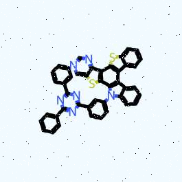 c1ccc(-c2nc(-c3ccccc3)nc(-c3cccc(-n4c5ccccc5c5c6c7ccccc7sc6c6c7ncncc7sc6c54)c3)n2)cc1